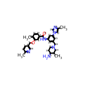 Cc1ccc(COc2cc(C(=O)Nc3cc(CN4CCC(N)C(C)C4)cc(-n4cnc(C)c4)c3)ccc2C)cn1